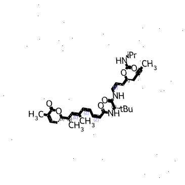 CC#CC[C@@H](C/C=C\NC(=O)[C@@H](NC(=O)\C=C/C=C\C(C)=C\[C@H](C)[C@@H]1CC=C(C)C(=O)O1)C(C)(C)C)OC(=O)NC(C)C